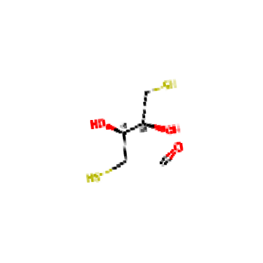 C=O.O[C@H](CS)[C@H](O)CS